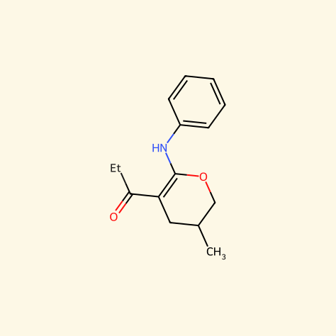 CCC(=O)C1=C(Nc2ccccc2)OCC(C)C1